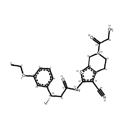 CCOc1cccc([C@@H](C)CC(=O)Nc2sc3c(c2C#N)CCN(C(=O)CO)C3)c1